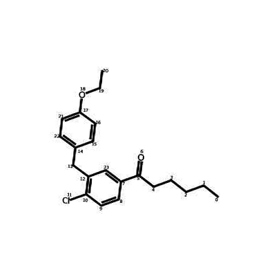 CCCCCC(=O)c1ccc(Cl)c(Cc2ccc(OCC)cc2)c1